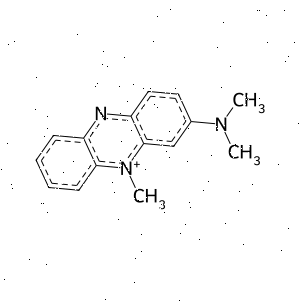 CN(C)c1ccc2nc3ccccc3[n+](C)c2c1